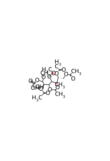 COC(OP(=O)(O)O)C(OC(C)=O)C(OC(C)=O)C(OC(C)=O)C(C)[C@@H](COC(C)=O)OC(C)=O